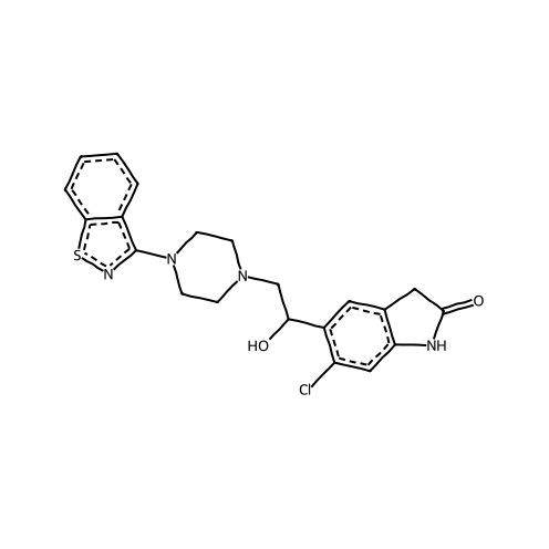 O=C1Cc2cc(C(O)CN3CCN(c4nsc5ccccc45)CC3)c(Cl)cc2N1